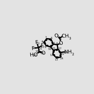 CC(=O)OC1c2ccccc2-c2cccc(N)c21.O=C(O)C(F)(F)F